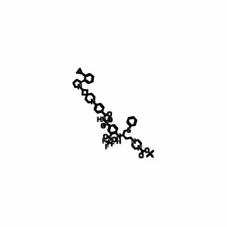 CC(C)(C)OC(=O)N1CCN(CC[C@H](CSc2ccccc2)Nc2ccc(S(=O)(=O)NC(=O)c3ccc(N4CCC5(CC4)CC(N4CCC[C@H]4c4ccccc4C4CC4)C5)cc3)cc2S(=O)(=O)C(F)(F)F)CC1